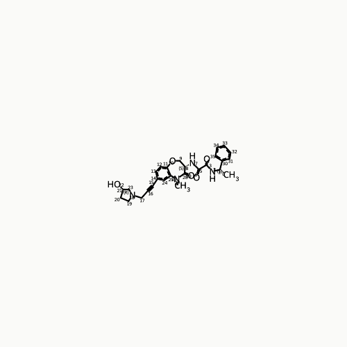 C[C@H](NC(=O)C(=O)N[C@H]1COc2ccc(C#CCN3CC[C@@H](O)C3)cc2N(C)C1=O)c1ccccc1